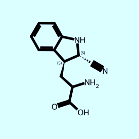 N#C[C@H]1Nc2ccccc2[C@@H]1CC(N)C(=O)O